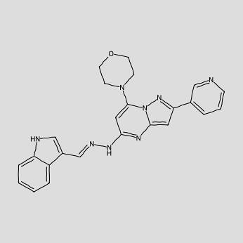 C(=N\Nc1cc(N2CCOCC2)n2nc(-c3cccnc3)cc2n1)/c1c[nH]c2ccccc12